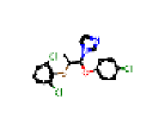 CC(Sc1c(Cl)cccc1Cl)C(Oc1ccc(Cl)cc1)n1ccnc1